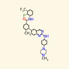 Cc1ccc(C(=O)Nc2cccc(C(F)(F)F)c2F)cc1-c1ccc2nc(Nc3ccc(N4CCN(C)CC4)cc3)ncc2c1